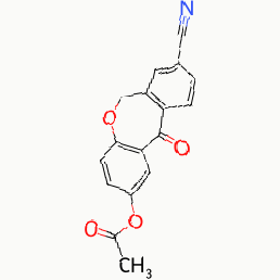 CC(=O)Oc1ccc2c(c1)C(=O)c1ccc(C#N)cc1CO2